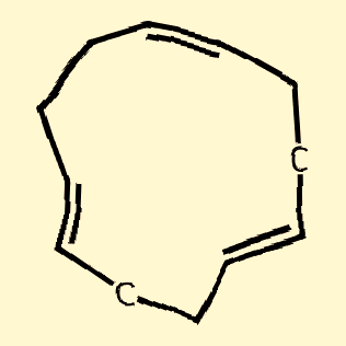 C1=C\CC/C=C/CC/C=C/CC/1